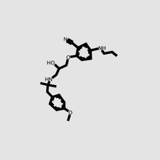 CCCNc1ccc(OCC(O)CNC(C)(C)Cc2ccc(OC)cc2)c(C#N)c1